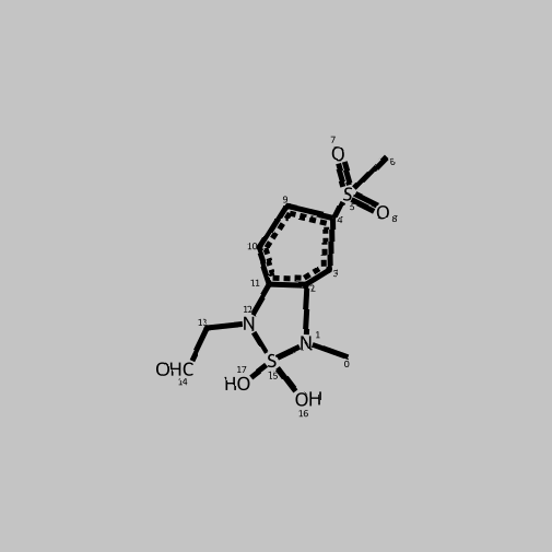 CN1c2cc(S(C)(=O)=O)ccc2N(CC=O)S1(O)O